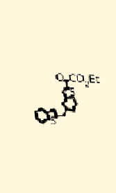 CCOC(=O)C(=O)c1cc2cc(Cc3cc4ccccc4s3)ccc2s1